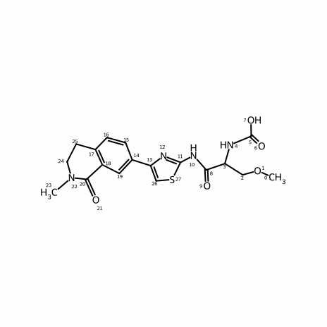 COCC(NC(=O)O)C(=O)Nc1nc(-c2ccc3c(c2)C(=O)N(C)CC3)cs1